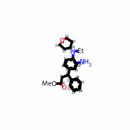 CCN(c1ccc(C(CC(=O)OC)c2ccccc2)cc1N)C1CCOCC1